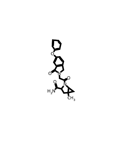 CC12CC(C(N)=O)N(C(=O)CN3Cc4ccc(Oc5ccccc5)cc4C3=O)C1C2